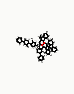 Cc1cc(-c2ccccc2)ccc1-c1ccc(N(c2ccc3c(c2)C(C)(C)c2ccccc2-3)c2ccc(-c3ccccc3)cc2-c2cccc3c2-c2ccccc2C32c3ccccc3-c3ccccc32)cc1C